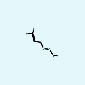 FSOOCC=C(F)F